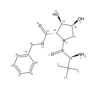 CC(C)(C)[C@H](N)C(=O)N1C[C@H](O)[C@H](O)[C@H]1C(=O)OCc1ccccc1